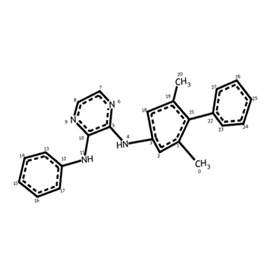 Cc1cc(Nc2nccnc2Nc2ccccc2)cc(C)c1-c1ccccc1